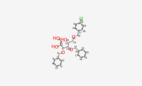 O/C=C(\O)[C@@H](OCc1ccccc1)[C@H](OCc1ccccc1)[C@H](O)COCc1ccc(Cl)cc1